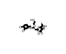 O=c1[nH]c(C[C@@H](NCc2ccc(Cl)c(Cl)c2)OCCO)nc2c(I)[nH]nc12